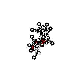 O=C(NCC1OC(OC2C(CO)OC(OC3C(OC(=O)c4ccccc4)C(NC(=O)OCc4ccccc4)CC(NC(=O)OCc4ccccc4)C3OC3OC4COC(c5ccccc5)OC4C(OC(=O)c4ccccc4)C3NC(=O)OCc3ccccc3)C2OC(=O)c2ccccc2)C(NC(=O)OCc2ccccc2)C(OC(=O)c2ccccc2)C1OC(=O)c1ccccc1)OCc1ccccc1